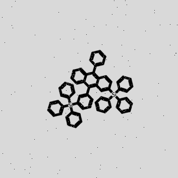 c1ccc(-c2c3ccccc3c(-c3cccc([Si](c4ccccc4)(c4ccccc4)c4ccccc4)c3)c3cc([Si](c4ccccc4)(c4ccccc4)c4ccccc4)ccc23)cc1